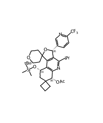 CC(=O)O[C@H]1c2nc(C(C)C)c3c(c2[C@@H](O[Si](C)(C)C(C)(C)C)CC12CCC2)C1(CCOCC1)O[C@@H]3c1ccc(C(F)(F)F)nc1